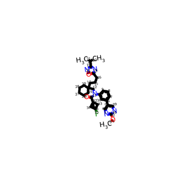 COc1ncc(-c2cccc(N(CC3(CCCc4nc(C(C)C)no4)CCCCC3)C(=O)C34CC(F)(C3)C4)c2)cn1